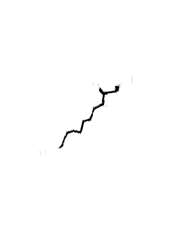 C=CC(=O)[CH]CCCCCCC